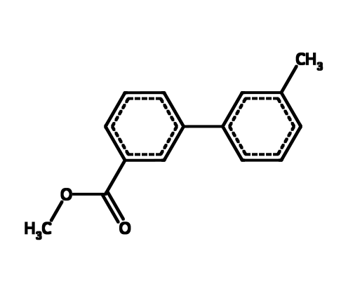 COC(=O)c1cccc(-c2cccc(C)c2)c1